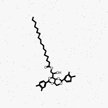 CCCCCCCCCCCCCCCCCC(=O)OCC(O)C1OC(c2ccc(C)c(C)c2)OC2COC(c3ccc(C)c(C)c3)OC21